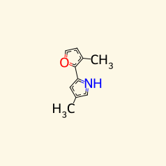 Cc1c[nH]c(-c2occc2C)c1